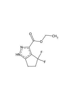 CCOC(=O)c1n[nH]c2c1C(F)(F)CC2